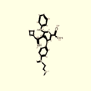 COCCN(C)c1ccc(-c2cc(C(=O)O)nc(Nc3ccccc3)c2C(=N)C2CCC2)cc1